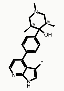 C[C@@H]1CN(C)C[C@H](C)C1(O)c1ccc(-c2ccnc3[nH]cc(F)c23)cc1